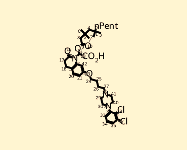 CCCCCC(C)(C)CC(C)(C)CC(=O)OC(C(=O)O)N1C(=O)CCc2ccc(OCCCCN3CCN(c4cccc(Cl)c4Cl)CC3)cc21